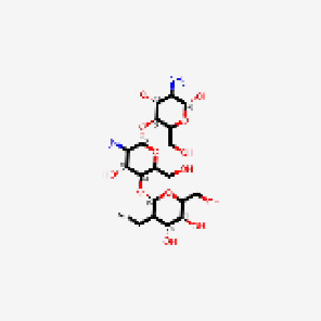 CC(=O)CC1[C@H](O[C@@H]2C(CO)O[C@@H](O[C@@H]3C(CO)O[C@@H](O)C(N)[C@H]3O)C(N)[C@H]2O)OC(CO)[C@@H](O)[C@@H]1O